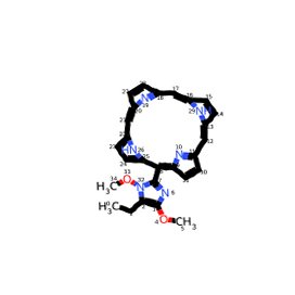 CCc1c(OC)nc(-c2c3nc(cc4ccc(cc5nc(cc6ccc2[nH]6)C=C5)[nH]4)C=C3)n1OC